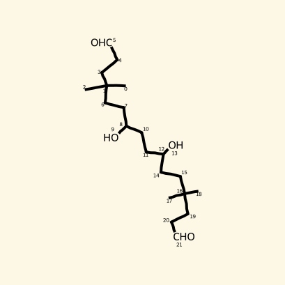 CC(C)(CCC=O)CCC(O)CCC(O)CCC(C)(C)CCC=O